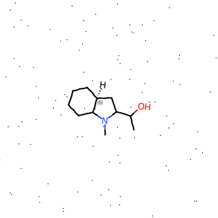 CC(O)C1C[C@@H]2CCCCC2N1C